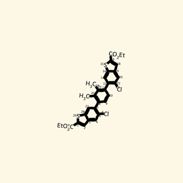 CCOC(=O)c1cc2cc(Cl)c(-c3ccc(-c4cc5sc(C(=O)OCC)cc5cc4Cl)c(C)c3C)cc2s1